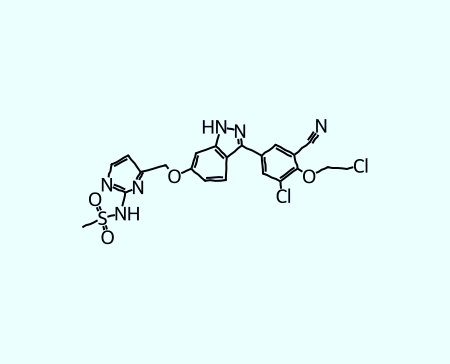 CS(=O)(=O)Nc1nccc(COc2ccc3c(-c4cc(Cl)c(OCCCl)c(C#N)c4)n[nH]c3c2)n1